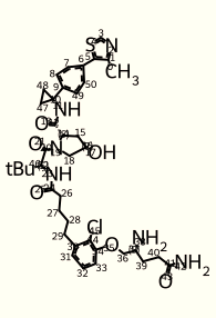 Cc1ncsc1-c1ccc(C2(NC(=O)[C@@H]3C[C@@H](O)CN3C(=O)[C@@H](NC(=O)CCCCc3cccc(OC[C@@H](N)CCC(N)=O)c3Cl)C(C)(C)C)CC2)cc1